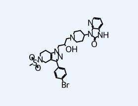 CS(=O)(=O)N1CCc2c(c(-c3ccc(Br)cc3)nn2CC(O)CN2CCC(n3c(=O)[nH]c4cccnc43)CC2)C1